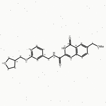 COCc1ccc2nc(C(=O)NCc3ccnc(OCC4CCOC4)c3)[nH]c(=O)c2c1